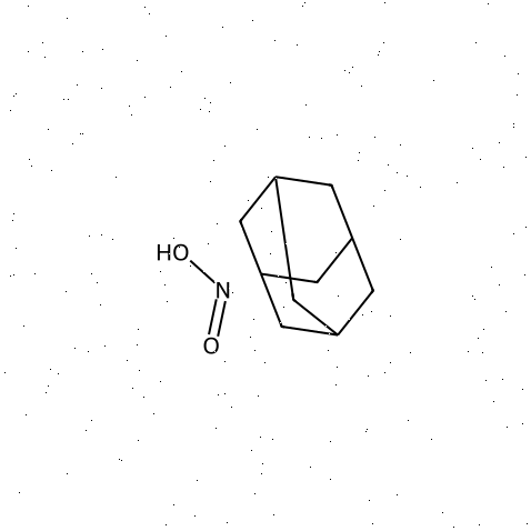 C1C2CC3CC1CC(C2)C3.O=NO